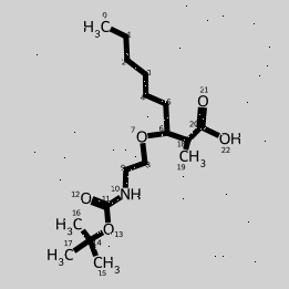 CCCCCCC(OCCNC(=O)OC(C)(C)C)C(C)C(=O)O